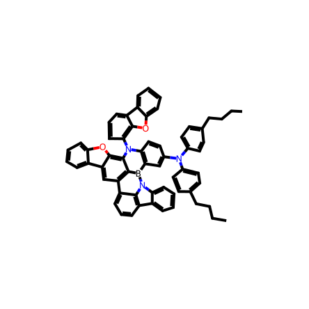 CCCCc1ccc(N(c2ccc(CCCC)cc2)c2ccc3c(c2)B2c4c(cc5c(oc6ccccc65)c4N3c3cccc4c3oc3ccccc34)-c3cccc4c5ccccc5n2c34)cc1